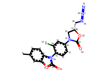 Cc1ccc2c(c1)oc(=O)n2-c1ccc(N2C[C@H](CN=[N+]=[N-])OC2=O)cc1F